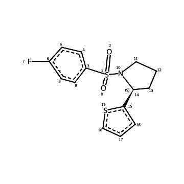 O=S(=O)(c1ccc(F)cc1)N1CCC[C@H]1c1cccs1